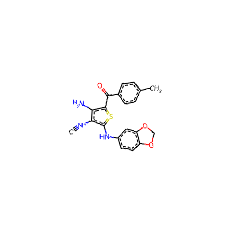 [C-]#[N+]c1c(Nc2ccc3c(c2)OCO3)sc(C(=O)c2ccc(C)cc2)c1N